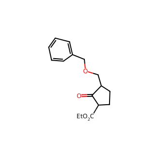 CCOC(=O)C1CCC(COCc2ccccc2)C1=O